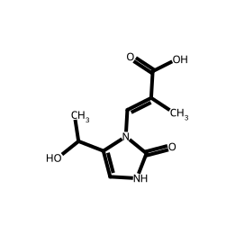 CC(=Cn1c(C(C)O)c[nH]c1=O)C(=O)O